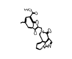 Cc1cc(C(=O)O)c2oc(CN3Cc4cccn5ncc(c45)C3=O)c(Cl)c2c1